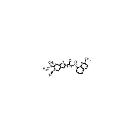 Cc1ccc2cccc([S+]([O-])NC(=O)c3cc4cc(C#N)c(N(C)C)cc4o3)c2n1